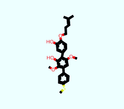 COc1cc(-c2ccc(SC)cc2)c(OC)c(O)c1-c1ccc(OCCC=C(C)C)c(O)c1